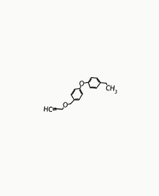 C#CCOCc1ccc(Oc2ccc(CC)cc2)cc1